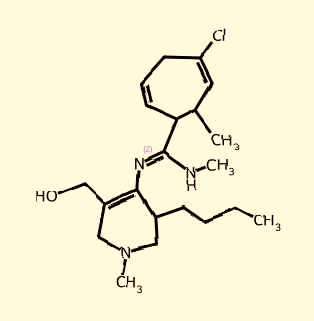 CCCCC1CN(C)CC(CO)=C1/N=C(\NC)C1C=CCC(Cl)=CC1C